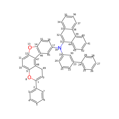 C1=C(c2ccccc2)Oc2ccc3oc4ccc(N(c5cccc(-c6ccccc6)c5)c5cc6ccccc6c6ccccc56)cc4c3c2C1